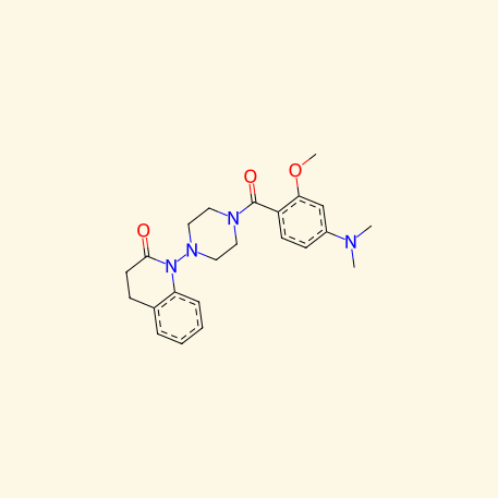 COc1cc(N(C)C)ccc1C(=O)N1CCN(N2C(=O)CCc3ccccc32)CC1